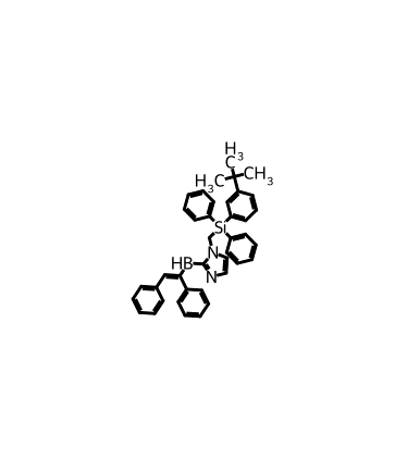 CC(C)(C)c1cccc([Si](Cn2ccnc2BC(=Cc2ccccc2)c2ccccc2)(c2ccccc2)c2ccccc2)c1